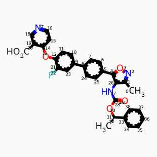 Cc1noc(-c2ccc(-c3ccc(Oc4ccncc4C(=O)O)c(F)c3)cc2)c1NC(=O)O[C@H](C)c1ccccc1